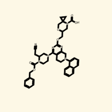 N#CCC1CN(c2nc(OCC3CN(C(=O)O)C4(CC4)CO3)nc3c2CCN(c2cccc4ccccc24)C3)CCN1C(=O)OCc1ccccc1